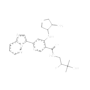 CC(C)(O)C(F)CNC(=O)c1cnc(-c2cnc3cccnn23)cc1NC1COCC1O